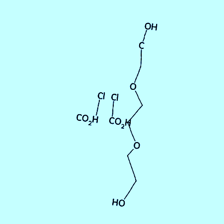 O=C(O)Cl.O=C(O)Cl.OCCOCCOCCO